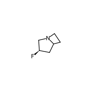 F[C@@H]1CC2CCN2C1